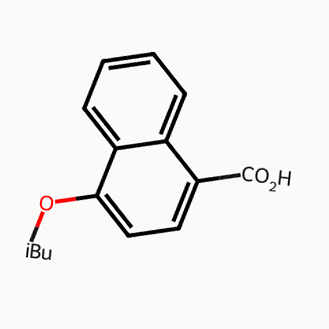 CCC(C)Oc1ccc(C(=O)O)c2ccccc12